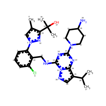 Cc1cn(-c2cccc(Cl)c2CNc2nc(N3CCC(N)CC3)nc3c(C(C)C)cnn23)nc1C(C)(C)O